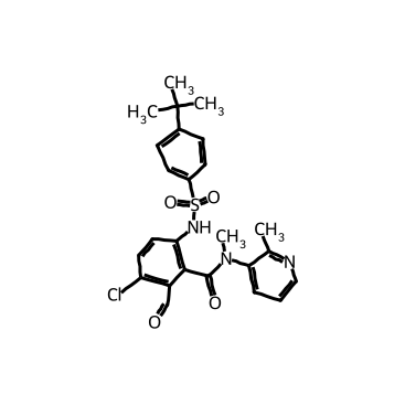 Cc1ncccc1N(C)C(=O)c1c(NS(=O)(=O)c2ccc(C(C)(C)C)cc2)ccc(Cl)c1C=O